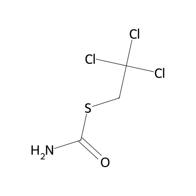 NC(=O)SCC(Cl)(Cl)Cl